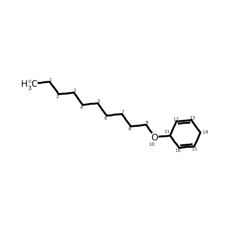 CCCCCCCCCCOC1C=CCC=C1